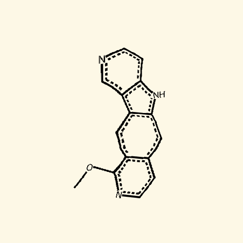 COc1nccc2cc3[nH]c4ccncc4c3cc12